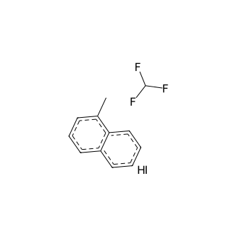 Cc1cccc2ccccc12.FC(F)F.I